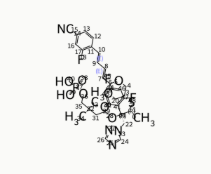 C[C@@H](S[C@H]1CO[C@H](/C=C/C=C/c2ccc(C#N)cc2F)OC1)[C@@](Cn1cncn1)(OC(=O)CC(C)(C)COP(=O)(O)O)c1ccc(F)cc1F